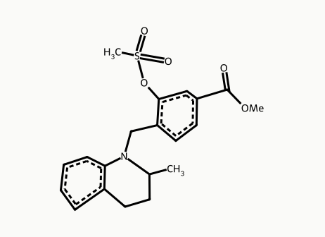 COC(=O)c1ccc(CN2c3ccccc3CCC2C)c(OS(C)(=O)=O)c1